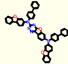 c1ccc(-c2ccc(N(c3ccc4c(c3)oc3ccccc34)c3ccc4c(c3)oc3nc(N(c5ccc(-c6ccccc6)cc5)c5ccc6c(c5)oc5ccccc56)nnc34)cc2)cc1